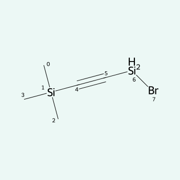 C[Si](C)(C)C#C[SiH2]Br